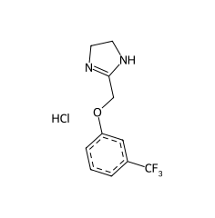 Cl.FC(F)(F)c1cccc(OCC2=NCCN2)c1